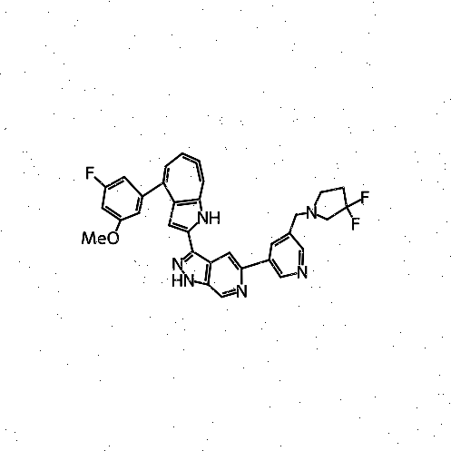 COc1cc(F)cc(C2=CC=C=Cc3[nH]c(-c4n[nH]c5cnc(-c6cncc(CN7CCC(F)(F)C7)c6)cc45)cc32)c1